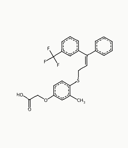 Cc1cc(OCC(=O)O)ccc1SCC=C(c1ccccc1)c1cccc(C(F)(F)F)c1